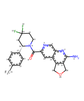 Nc1nc2cnc(C(=O)N3CCC(F)(F)C[C@H]3c3ccc(C(F)(F)F)cc3)cc2c2c1COC2